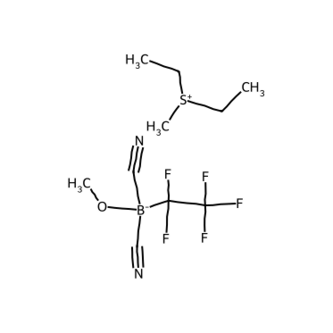 CC[S+](C)CC.CO[B-](C#N)(C#N)C(F)(F)C(F)(F)F